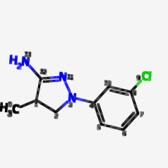 CC1CN(c2cccc(Cl)c2)N=C1N